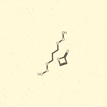 O=C1C=CO1.OOOCCCOOO